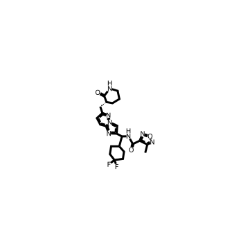 Cc1nonc1C(=O)NC(c1cn2nc(C[C@H]3CCCNC3=O)ccc2n1)C1CCC(F)(F)CC1